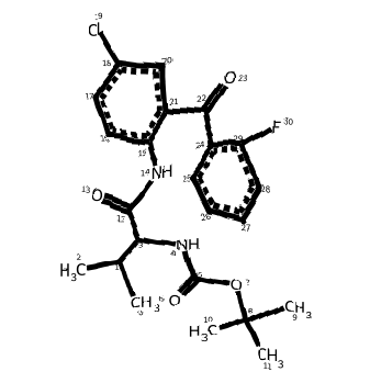 CC(C)C(NC(=O)OC(C)(C)C)C(=O)Nc1ccc(Cl)cc1C(=O)c1ccccc1F